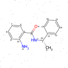 C[C@H](NC(=O)c1[c]cccc1N)c1ccccc1